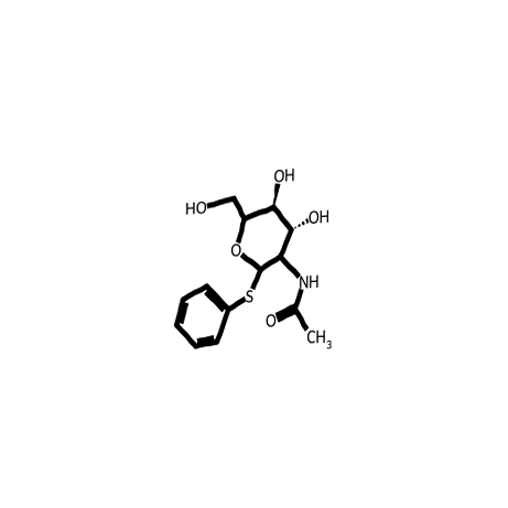 CC(=O)NC1C(Sc2ccccc2)OC(CO)[C@@H](O)[C@@H]1O